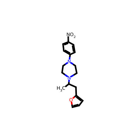 CC(Cc1ccco1)N1CCN(c2ccc([N+](=O)[O-])cc2)CC1